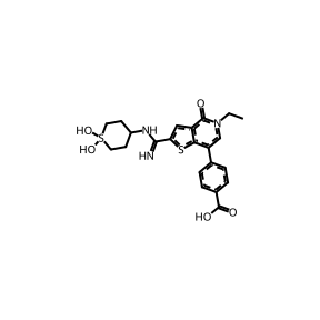 CCn1cc(-c2ccc(C(=O)O)cc2)c2sc(C(=N)NC3CCS(O)(O)CC3)cc2c1=O